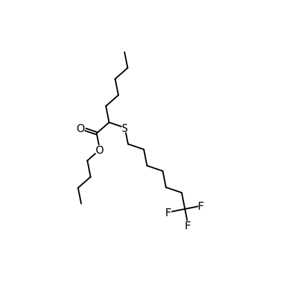 CCCCCC(SCCCCCCC(F)(F)F)C(=O)OCCCC